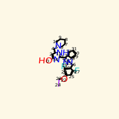 OC1=CC(CN2CCCCC2)NC(c2nn(Cc3c(F)cc(OCI)cc3F)c3ccccc23)=N1